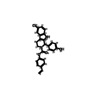 C=Cc1ccc(OC(=O)N2CCc3c([nH]c4ccc(Cl)cc34)C2c2ccc(O)cc2)cc1